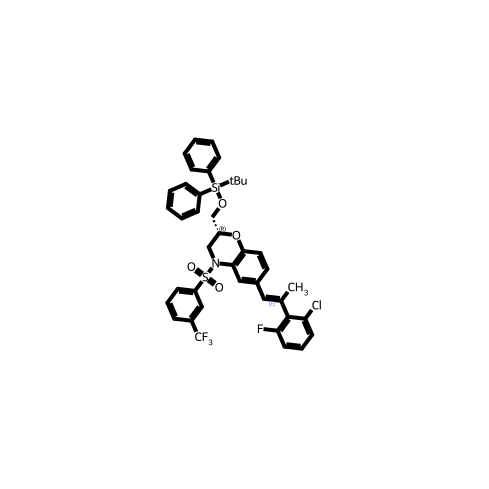 C/C(=C\c1ccc2c(c1)N(S(=O)(=O)c1cccc(C(F)(F)F)c1)C[C@H](CO[Si](c1ccccc1)(c1ccccc1)C(C)(C)C)O2)c1c(F)cccc1Cl